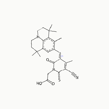 CC1=C(C#N)C(=S)N(CC(=O)O)C(=O)/C1=C\c1cc2c3c(c1C)C(C)(C)CCN3CCC2(C)C